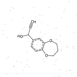 C#CC(O)c1ccc2c(c1)OCCCO2